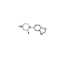 C[C@H]1CNCCN1c1ccc2ocnc2c1